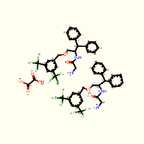 NCC(=O)NC(COCc1cc(C(F)(F)F)cc(C(F)(F)F)c1)C(c1ccccc1)c1ccccc1.NCC(=O)NC(COCc1cc(C(F)(F)F)cc(C(F)(F)F)c1)C(c1ccccc1)c1ccccc1.O=C(O)C(=O)O